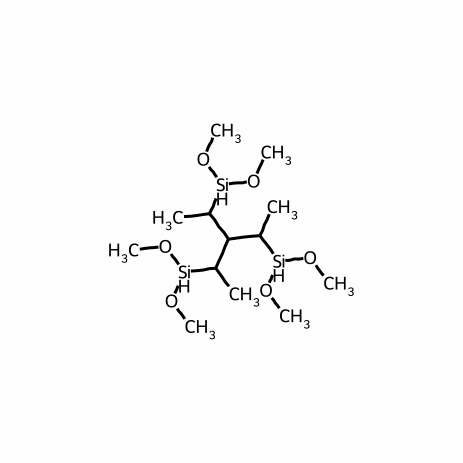 CO[SiH](OC)C(C)C(C(C)[SiH](OC)OC)C(C)[SiH](OC)OC